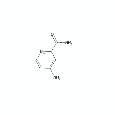 NC(=O)c1[c]c(N)ccn1